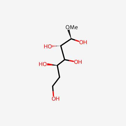 CO[C@@H](O)[C@@H](O)C(O)[C@H](O)CCO